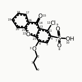 CCCOc1cc(S(=O)(=O)O)c(Cl)c2c(=O)c3ccccc3oc12